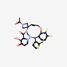 CC(=O)N1CC2(/C=C/COc3c(ccc(F)c3F)C(c3ccsc3C)N3CN2C(=O)c2c(O)c(=O)ccn23)C1